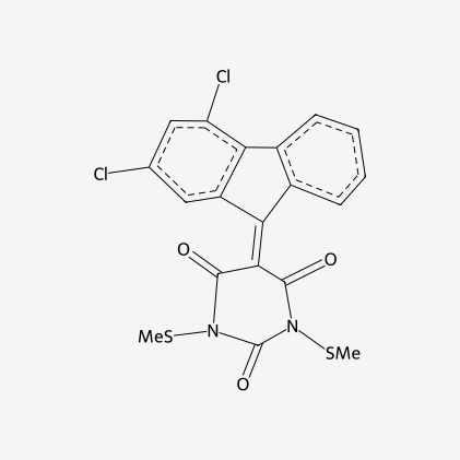 CSN1C(=O)C(=C2c3ccccc3-c3c(Cl)cc(Cl)cc32)C(=O)N(SC)C1=O